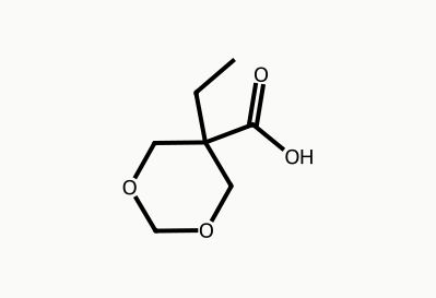 CCC1(C(=O)O)COCOC1